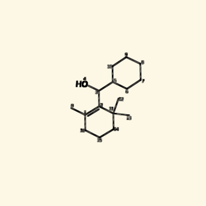 CC1=C(C(O)C2CCCCC2)C(C)(C)CCC1